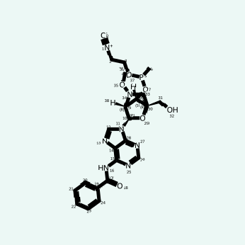 [C-]#[N+]CCOP(C)O[C@H]1[C@@H]2[C@H](n3cnc4c(NC(=O)c5ccccc5)ncnc43)O[C@@]1(CO)CN2OC